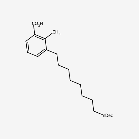 CCCCCCCCCCCCCCCCCCc1cccc(C(=O)O)c1C